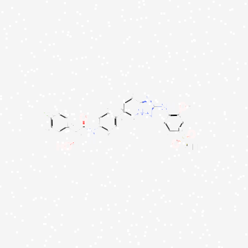 COc1cc(S(C)(=O)=O)ccc1Nc1nc2ccc(-c3ccc(NC(=O)[C@H](CO)c4ccc(F)cc4)cc3)cn2n1